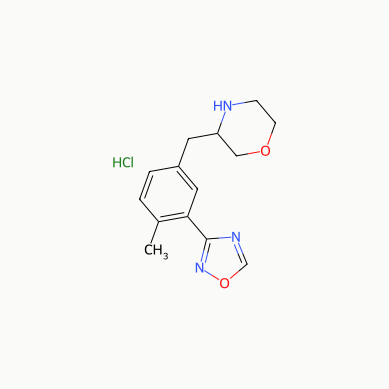 Cc1ccc(CC2COCCN2)cc1-c1ncon1.Cl